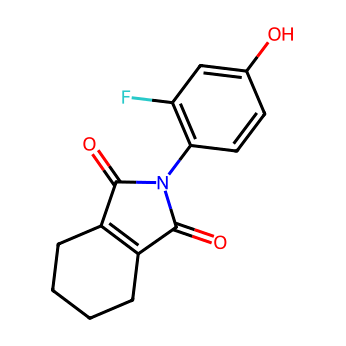 O=C1C2=C(CCCC2)C(=O)N1c1ccc(O)cc1F